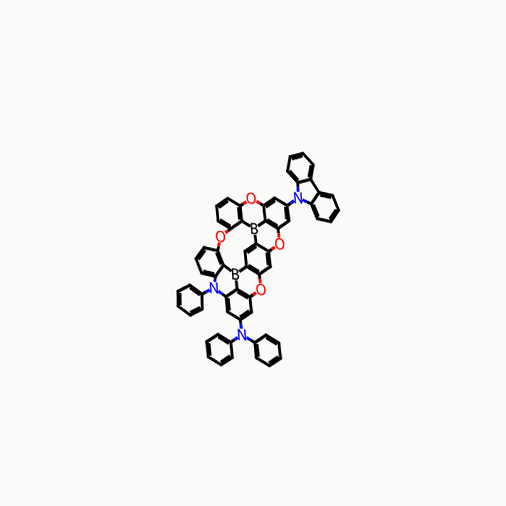 c1ccc(N(c2ccccc2)c2cc3c4c(c2)N(c2ccccc2)c2cccc5c2B4c2cc4c(cc2O3)Oc2cc(-n3c6ccccc6c6ccccc63)cc3c2B4c2c(cccc2O5)O3)cc1